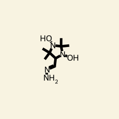 CC1(C)C(C=NN)N(O)C(C)(C)N1O